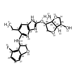 CCc1cc2[nH]c(O[C@@H]3CO[C@@H]4[C@H](O)CO[C@@]43N)nc2nc1NC1COc2cccc(F)c21